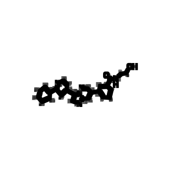 O=C(NCCO)c1cccc(-c2cnn3c(-c4ccnc(-c5ccccc5)c4)cnc3c2)c1